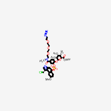 COC(=O)[C@H]1O[C@@H](Oc2ccc(C(=O)N(C)CCOCCOCCOCCN=[N+]=[N-])cc2OS(=O)(=O)Oc2cc3c(c4cc(OC)ccc24)[C@H](CCl)CN3)[C@H](OC(C)=O)[C@@H](OC(C)=O)[C@@H]1C